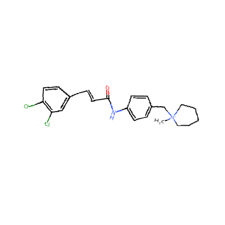 C[N+]1(Cc2ccc(NC(=O)/C=C/c3ccc(Cl)c(Cl)c3)cc2)CCCCC1